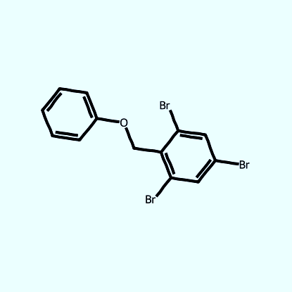 Brc1cc(Br)c(COc2ccccc2)c(Br)c1